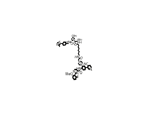 COc1cccc(F)c1-c1nccc(C(=O)Nc2ccc(-c3cnccc3C#N)cc2N2CCN(CC(=O)NCCCCCCCC(=O)N[C@H](C(=O)N3C[C@H](O)C[C@H]3C(=O)NCc3ccc(-c4scnc4C)cc3)C(C)(C)C)CC2)n1